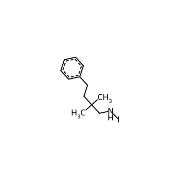 CC(C)(CCc1ccccc1)CNI